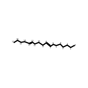 [CH2]CCCCCCC=CCCCC=CCCCC